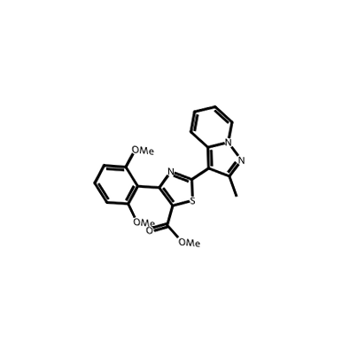 COC(=O)c1sc(-c2c(C)nn3ccccc23)nc1-c1c(OC)cccc1OC